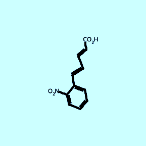 O=C(O)C=CC=Cc1ccccc1[N+](=O)[O-]